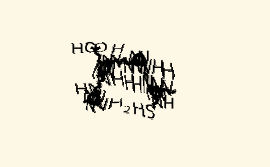 CCNc1nc(NCCS)nc(NCCNc2ncnc(NCCNc3nc(CCCC(=O)O)nc(NCCNc4nc(C)nc(N)n4)n3)n2)n1